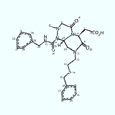 CN1CC(=O)N2[C@@H](CC(=O)O)C(=O)N(CCSCc3ccccc3)C[C@@H]2N1C(=O)NCc1ccccc1